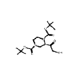 CC(C)(C)OC(=O)N1CCN(C(=O)OC(C)(C)C)[C@@H](C(=O)CO)C1